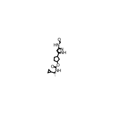 C[C@@H](NC(=O)OC1CCC(c2cc(NC=O)n[nH]2)C1)C1CC1